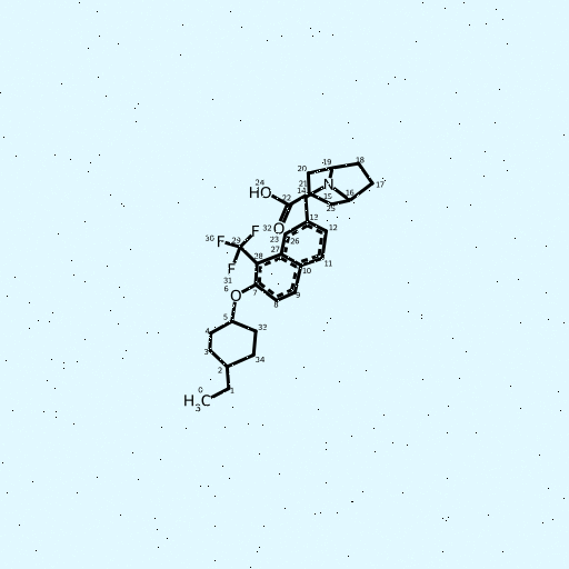 CCC1CCC(Oc2ccc3ccc(CN4C5CCC4CC(C(=O)O)C5)cc3c2C(F)(F)F)CC1